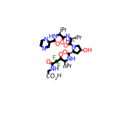 CCC[C@H](NC(=O)[C@@H]1C[C@@H](O)CN1C(=O)[C@@H](NC(=O)[C@@H](NC(=O)c1cnccn1)C(C)C)C(C)C)C(=O)C(F)(F)C(=O)NCC(=O)O